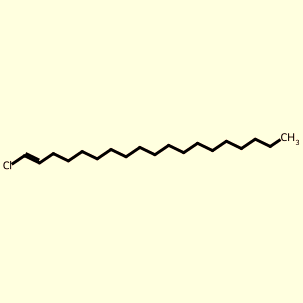 CCCCCCCCCCCCCCCCCC=CCl